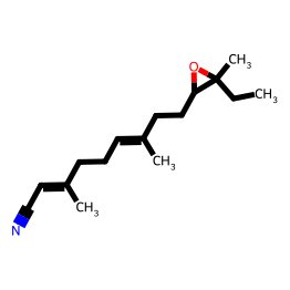 CCC1(C)OC1CC/C(C)=C/CC/C(C)=C/C#N